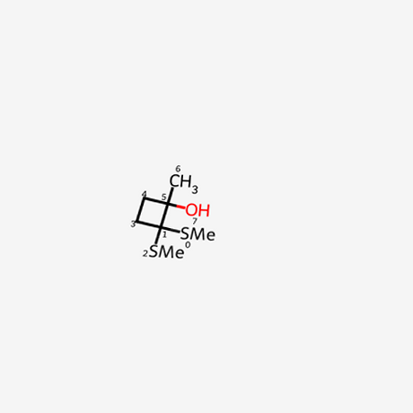 CSC1(SC)CCC1(C)O